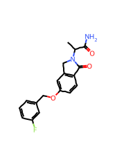 CC(C(N)=O)N1Cc2cc(OCc3cccc(F)c3)ccc2C1=O